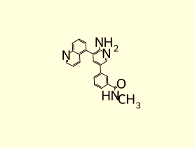 CNC(=O)c1cccc(-c2cnc(N)c(-c3cccc4ncccc34)c2)c1